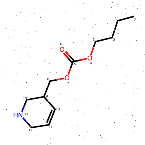 CCCCOC(=O)OCC1C=CCNC1